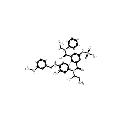 CCC(C)N(C(=O)c1cc(OS(C)(=O)=O)cc(C(=O)N(CC)c2ccccc2)c1)c1ccc(NCc2cccc(OC)c2)c(O)c1